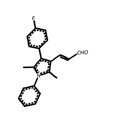 Cc1c(C=CC=O)c(-c2ccc(F)cc2)c(C)n1-c1ccccc1